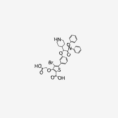 O=C(O)COc1c(C(=O)O)sc(-c2cccc(OC(C(=O)N(Oc3ccccc3)c3ccccc3)C3CCNCC3)c2)c1Br